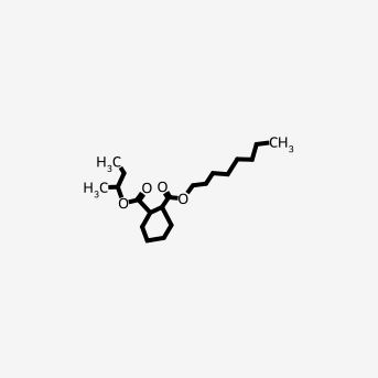 CCCCCCCCOC(=O)C1CCCCC1C(=O)OC(C)CC